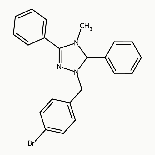 CN1C(c2ccccc2)=NN(Cc2ccc(Br)cc2)C1c1ccccc1